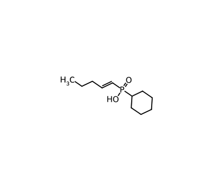 CCCC=CP(=O)(O)C1CCCCC1